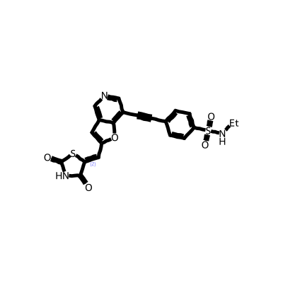 CCNS(=O)(=O)c1ccc(C#Cc2cncc3cc(/C=C4\SC(=O)NC4=O)oc23)cc1